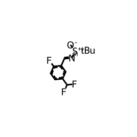 CC(C)(C)[S@@+]([O-])N=Cc1cc(C(F)F)ccc1F